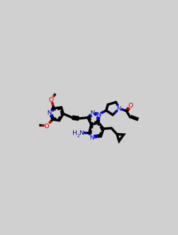 C=CC(=O)N1CCC(n2nc(C#Cc3cc(OC)nc(OC)c3)c3c(N)ncc(CC4CC4)c32)C1